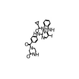 O=C1CN(C(=O)c2ccc(Nc3ncc(I)c(Nc4ccccc4NC(=O)C4CC4)n3)cc2)CCN1